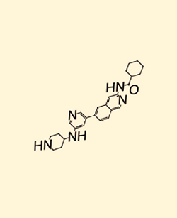 O=C(Nc1cc2cc(-c3cncc(NC4CCNCC4)c3)ccc2cn1)C1CCCCC1